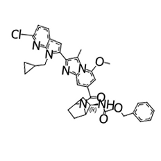 COc1cc(C(=O)N2C3CCC2[C@H](NC(=O)OCc2ccccc2)C3)cc2nc(-c3cc4ccc(Cl)nc4n3CC3CC3)c(C)n12